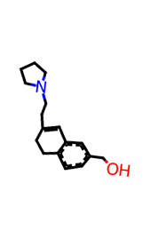 OCc1ccc2c(c1)C=C(CCN1CCCC1)CC2